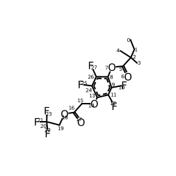 CCC(C)(C)C(=O)Oc1c(F)c(F)c(OCC(=O)OCC(F)(F)F)c(F)c1F